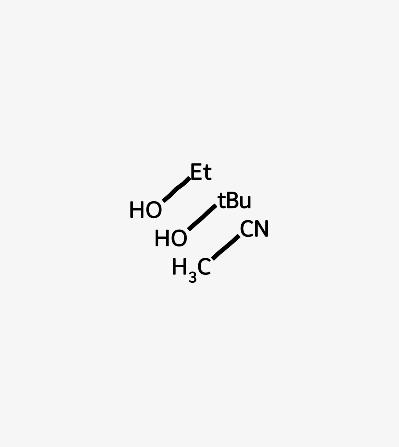 CC#N.CC(C)(C)O.CCO